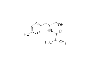 CC(C)C(=O)N[C@@H](CO)Cc1ccc(O)cc1